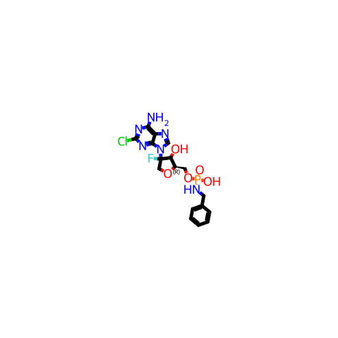 Nc1nc(Cl)nc2c1ncn2C1(F)CO[C@H](COP(=O)(O)NCc2ccccc2)C1O